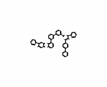 c1ccc(-c2ccc(-c3nc(-c4cccc(-c5cccc(-c6cccc7nc8cc9oc%10ccccc%10c9cc8nc67)c5)c4)nc4c3sc3ccccc34)cc2)cc1